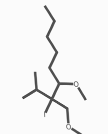 CCCCCC(OC)C(I)(COC)C(C)C